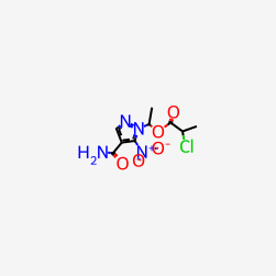 CC(Cl)C(=O)OC(C)n1ncc(C(N)=O)c1[N+](=O)[O-]